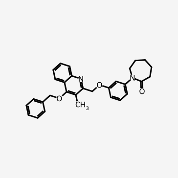 Cc1c(COc2cccc(N3CCCCCC3=O)c2)nc2ccccc2c1OCc1ccccc1